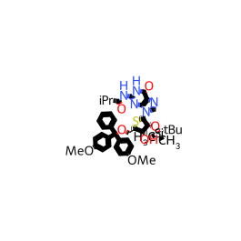 COc1ccc(C(OC[C@@H]2S[C@@H](n3cnc4c(=O)[nH]c(NC(=O)C(C)C)nc43)[C@H](O[Si](C)(C)C(C)(C)C)[C@@H]2O)(c2ccccc2)c2ccc(OC)cc2)cc1